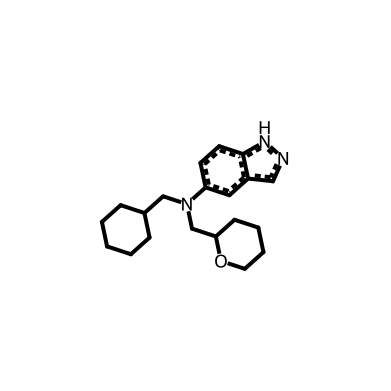 c1cc2[nH]ncc2cc1N(CC1CCCCC1)CC1CCCCO1